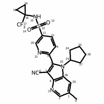 Cc1cnc2c(C#N)c(-c3ccc(S(=O)(=O)NC4(C(F)(F)F)CC4)cn3)n(C3CCCC3)c2c1